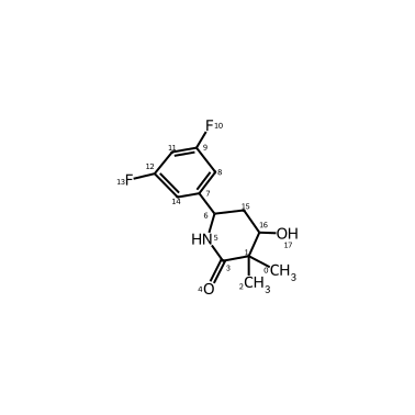 CC1(C)C(=O)NC(c2cc(F)cc(F)c2)CC1O